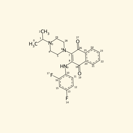 CC(C)N1CCN(C2=C(Nc3ccc(F)cc3F)C(=O)c3ccccc3C2=O)CC1